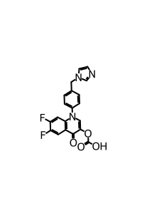 O=C(O)Oc1cn(-c2ccc(Cn3ccnc3)cc2)c2cc(F)c(F)cc2c1=O